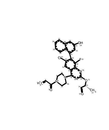 C=CC(=O)N1CCN(c2nc(O[C@H](C)C=O)nc3c(F)c(-c4cc(O)cc5ccccc45)c(Cl)cc23)CC1